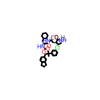 CC(C)(c1cccc(Cl)c1)C(OC(=O)N[C@@H](CC1CCCCC1)C(=O)N[C@@H](C[C@@H]1CCNC1=O)C(=O)O)c1ccc2c(c1)CCC2